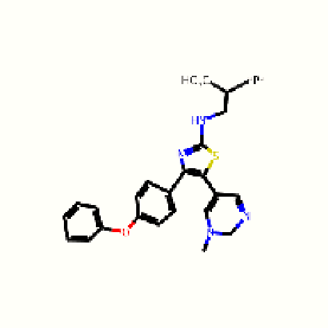 CCCC(CNc1nc(-c2ccc(Oc3ccccc3)cc2)c(C2=CN(C)CN=C2)s1)C(=O)O